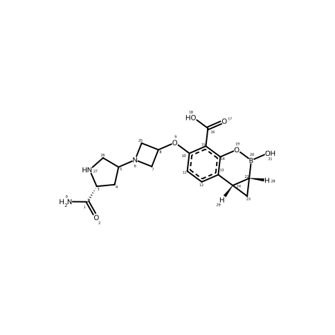 NC(=O)[C@H]1CC(N2CC(Oc3ccc4c(c3C(=O)O)OB(O)[C@@H]3C[C@H]43)C2)CN1